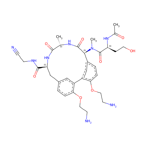 CC(=O)N[C@@H](CCO)C(=O)N(C)[C@@H]1C(=O)N[C@@H](C)C(=O)N[C@H](C(=O)NCC#N)Cc2ccc(OCCN)c(c2)-c2cc1ccc2OCCN